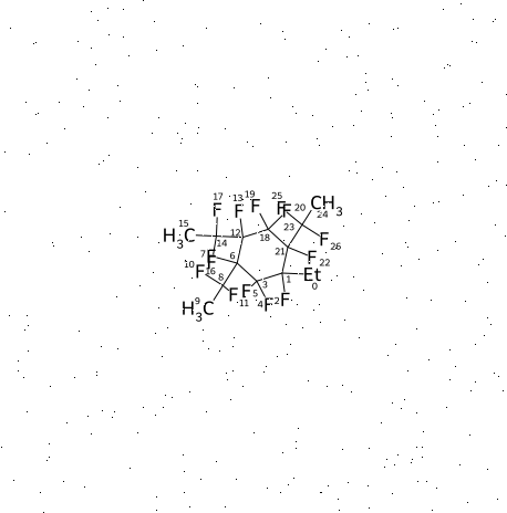 CCC1(F)C(F)(F)C(F)(C(C)(F)F)C(F)(C(C)(F)F)C(F)(F)C1(F)C(C)(F)F